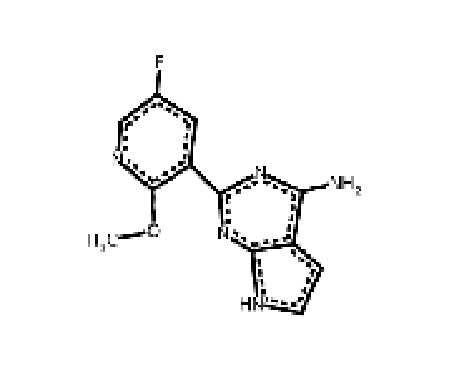 COc1ncc(F)cc1-c1nc(N)c2cc[nH]c2n1